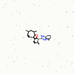 CC1C=Cc2c(oc3c2C=CC(C)C3C2NC3C(C)CC=CC3N2C)C(C)C1